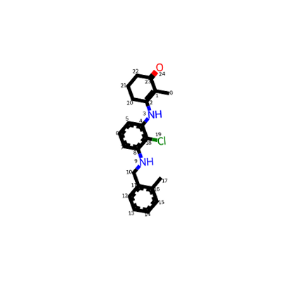 CC1=C(Nc2cccc(NCc3ccccc3C)c2Cl)CCCC1=O